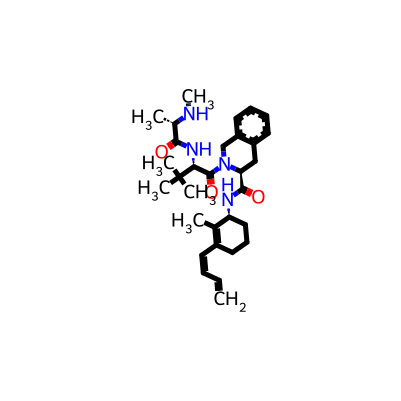 C=C/C=C\C1=C(C)[C@H](NC(=O)[C@@H]2Cc3ccccc3CN2C(=O)[C@@H](NC(=O)[C@H](C)NC)C(C)(C)C)CCC1